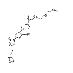 COCCOCCOCC(=O)N1CCN(c2ccc(N3CC(COc4ccon4)OC3=O)cc2F)CC1